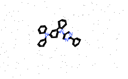 c1ccc(-c2ncc(-n3c4ccccc4c4cc(N(c5ccccc5)c5ccccc5)ccc43)cn2)cc1